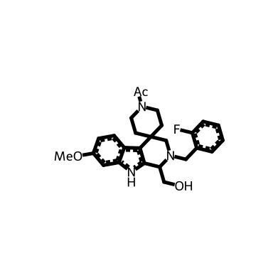 COc1ccc2c3c([nH]c2c1)C(CO)N(Cc1ccccc1F)CC31CCN(C(C)=O)CC1